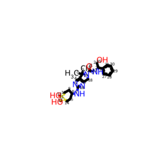 CC1(C)c2cnc(NC3CCS(O)(O)CC3)nc2CN1C(=O)NC(CO)c1ccccc1